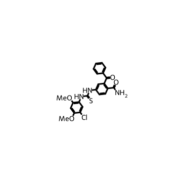 COc1cc(OC)c(NC(=S)Nc2ccc(C(N)=O)c(C(=O)c3ccccc3)c2)cc1Cl